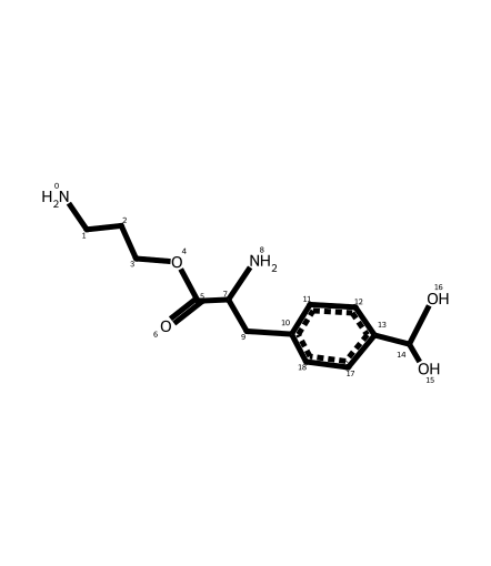 NCCCOC(=O)C(N)Cc1ccc(C(O)O)cc1